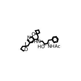 CC(=O)N[C@@H](Cc1ccccc1)[C@H](O)CN[C@H]1CC2(CCC2)Oc2ncc(C[C@@]3(C)CCCO3)cc21